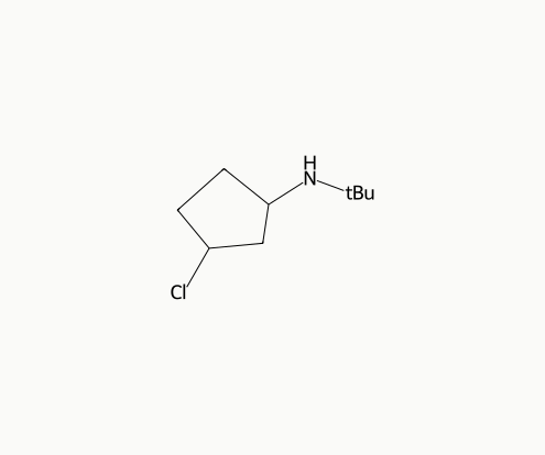 CC(C)(C)NC1CCC(Cl)C1